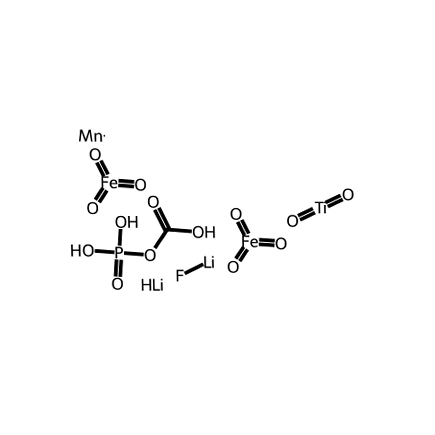 O=C(O)OP(=O)(O)O.[LiH].[Li][F].[Mn].[O]=[Fe](=[O])=[O].[O]=[Fe](=[O])=[O].[O]=[Ti]=[O]